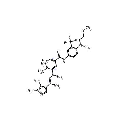 C=C(C)/C(=C\C(=C/C)C(=O)Nc1ccc(N(C)CCOC)c(C(F)(F)F)c1)N(N)/C=C(\N)c1cnn(C)c1C